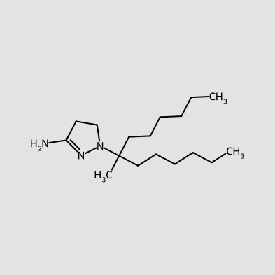 CCCCCCC(C)(CCCCCC)N1CCC(N)=N1